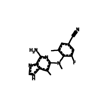 Cc1cc(C#N)cc(F)c1N(C)c1nc(N)c2nc[nH]c2c1C